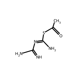 CC(=O)S/C(N)=N/C(=N)N